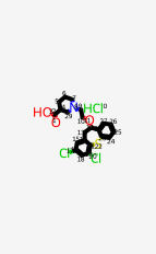 Cl.O=C(O)C1CCCN(CCOC2Cc3cc(Cl)cc(Cl)c3Sc3ccccc32)C1